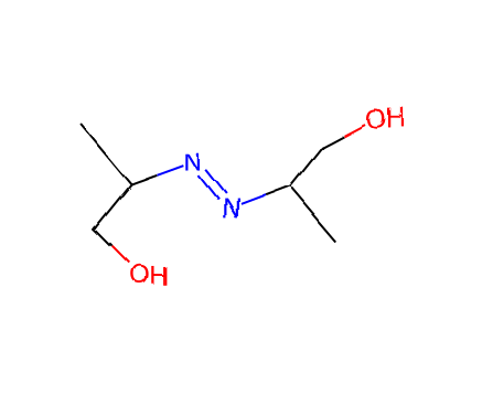 CC(CO)N=NC(C)CO